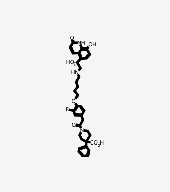 O=C(Cc1ccc(OCCCCCNC[C@H](O)c2ccc(O)c3[nH]c(=O)ccc23)c(F)c1)N1CCC(C(=O)O)(c2ccccc2)CC1